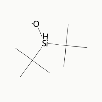 CC(C)(C)[SiH]([O])C(C)(C)C